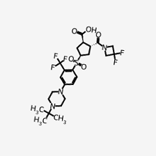 CC(C)(C)N1CCN(c2ccc(S(=O)(=O)[C@H]3C[C@@H](C(=O)O)[C@H](C(=O)N4CC(F)(F)C4)C3)c(C(F)(F)F)c2)CC1